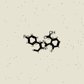 CCc1nc(-c2c(F)cccc2C(=O)O)sc1-c1ccc(F)cc1